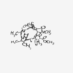 C=Cc1c(C)c2cc3nc(c4c5[nH]c(cc6nc(cc1[nH]2)C(C)=C6CC)c(C)c5C(=O)N(C)C4=O)[C@@H](CCC(=O)OC)C3C